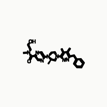 Cc1c(Cc2ccccc2)nnc(N2CCN(c3cnc(C(=O)N(C)CCO)cn3)[C@H](C)C2)c1C